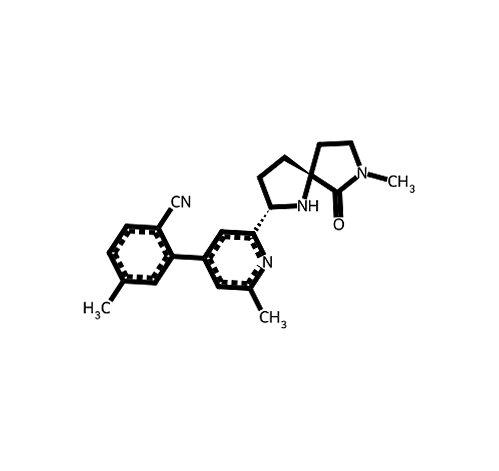 Cc1ccc(C#N)c(-c2cc(C)nc([C@@H]3CC[C@]4(CCN(C)C4=O)N3)c2)c1